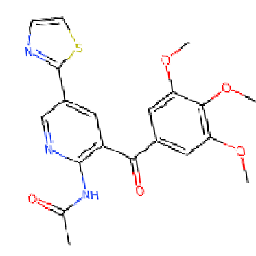 COc1cc(C(=O)c2cc(-c3nccs3)cnc2NC(C)=O)cc(OC)c1OC